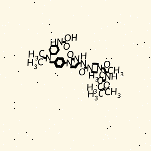 CC(C)N(Cc1ccc(-n2ccc(NC(=O)N3CCN(C(=O)C(C)(C)NC(=O)OC(C)(C)C)CC3)nc2=O)cc1)[C@H]1CC[C@H](NC(=O)O)CC1